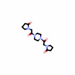 O=C(CN1CCCC1=O)N1CCN(C(=O)CN2CCCC2=O)CC1